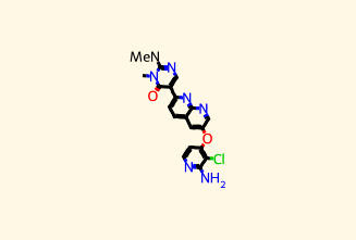 CNc1ncc(-c2ccc3cc(Oc4ccnc(N)c4Cl)cnc3n2)c(=O)n1C